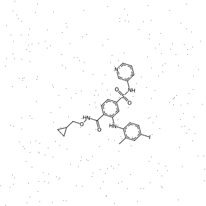 Cc1cc(I)ccc1Nc1cc(S(=O)(=O)Nc2cccnc2)ccc1C(=O)NOCC1CC1